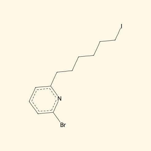 Brc1cccc(CCCCCCI)n1